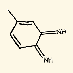 CC1=CC(=N)C(=N)C=C1